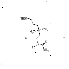 CCCCCCCCCCCC[N+](C)(C)CCN(CC)C(N)=O.[Br-]